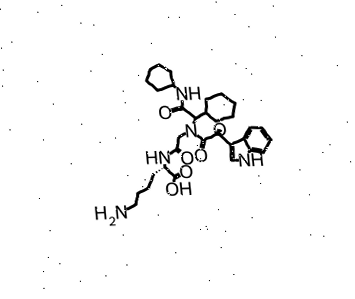 NCCCC[C@H](NC(=O)CN(C(=O)C(=O)c1c[nH]c2ccccc12)C(C(=O)NC1CCCCC1)C1CCCCC1)C(=O)O